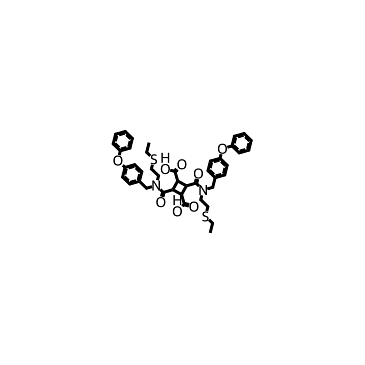 CCSCCN(Cc1ccc(Oc2ccccc2)cc1)C(=O)C1C(C(=O)O)C(C(=O)N(CCSCC)Cc2ccc(Oc3ccccc3)cc2)C1C(=O)O